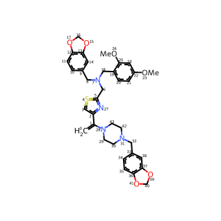 C=C(c1csc(CN(Cc2ccc3c(c2)OCO3)Cc2ccc(OC)cc2OC)n1)N1CCN(Cc2ccc3c(c2)OCO3)CC1